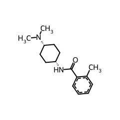 Cc1ccccc1C(=O)N[C@H]1CC[C@@H](N(C)C)CC1